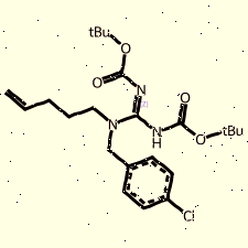 C=CCCCN(Cc1ccc(Cl)cc1)/C(=N\C(=O)OC(C)(C)C)NC(=O)OC(C)(C)C